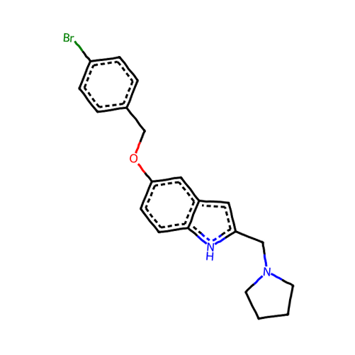 Brc1ccc(COc2ccc3[nH]c(CN4CCCC4)cc3c2)cc1